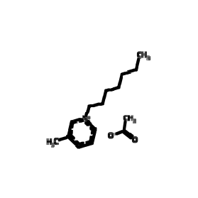 CC(=O)[O-].CCCCCCC[n+]1cccc(C)c1